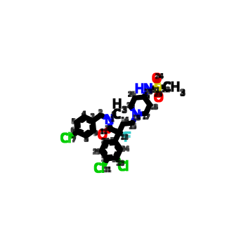 CN(Cc1ccc(Cl)cc1)C(=O)C(F)(CCN1CCC(NS(C)(=O)=O)CC1)c1ccc(Cl)c(Cl)c1